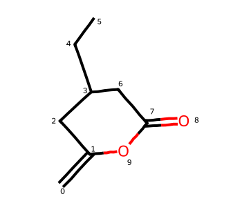 C=C1CC(CC)CC(=O)O1